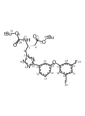 CC(C)(C)OC(=O)C[C@H](Cn1nnc(-c2cccc(Oc3cc(F)cc(F)c3)c2)n1)NC(=O)OC(C)(C)C